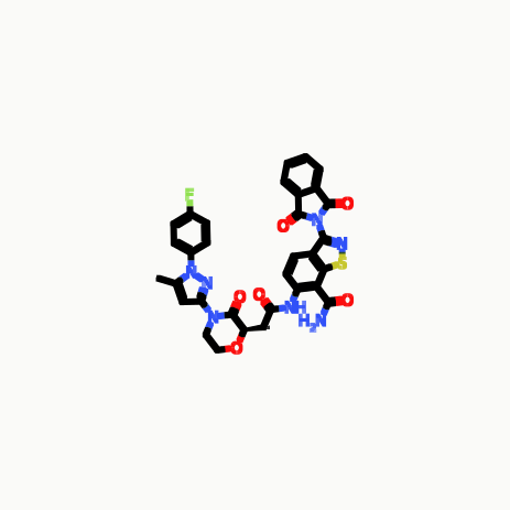 Cc1cc(N2CCO[C@H]([CH]C(=O)Nc3ccc4c(N5C(=O)c6ccccc6C5=O)nsc4c3C(N)=O)C2=O)nn1-c1ccc(F)cc1